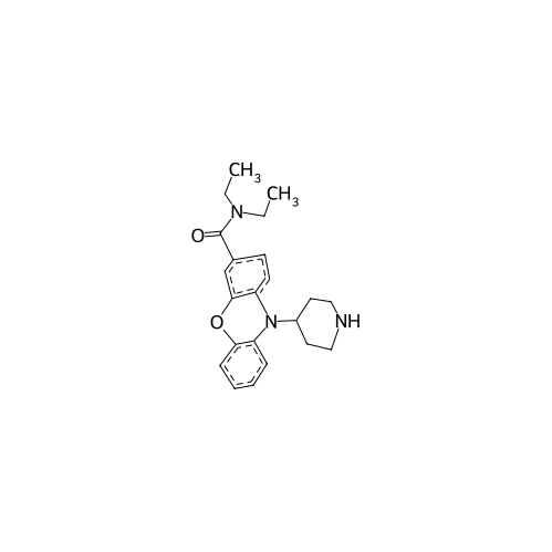 CCN(CC)C(=O)c1ccc2c(c1)Oc1ccccc1N2C1CCNCC1